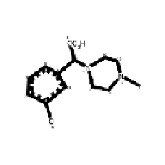 CN1CCN(C(C(=O)O)c2cccc(Cl)c2)CC1